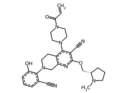 C=CC(=O)N1CCN(c2c(C#N)c(OC[C@@H]3CCCN3C)nc3c2CCN(c2c(O)cccc2C#N)C3)CC1